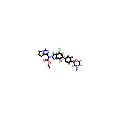 CCOC(=O)C(c1ncn2c1CCC2)n1cc2c(Cl)cc(-c3ccc(C4CNCCO4)cc3)c(F)c2n1